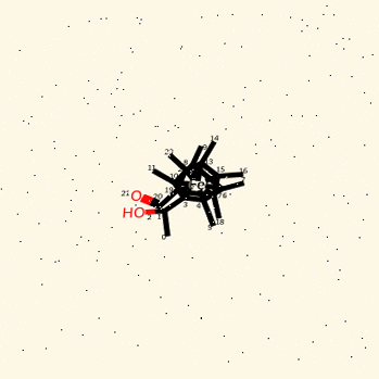 CC(O)[C]12[C]3(C)[C]4(C)[C]5(C)[C]1(C)[Fe]45321678[C]2(C)[C]1(C)[C]6(C)[C]7(C=O)[C]28C